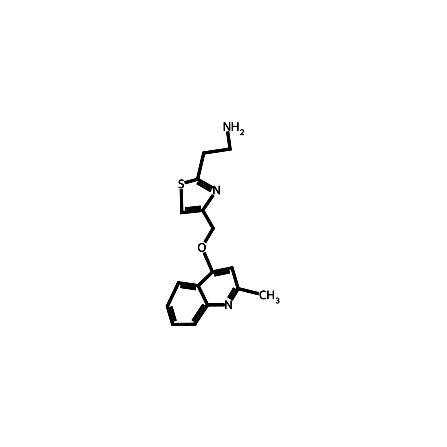 Cc1cc(OCc2csc(CCN)n2)c2ccccc2n1